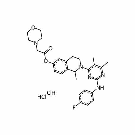 Cc1nc(Nc2ccc(F)cc2)nc(N2CCc3cc(OC(=O)CN4CCOCC4)ccc3C2C)c1C.Cl.Cl